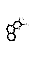 Cc1cc2ccc3ccccc3c2nc1C